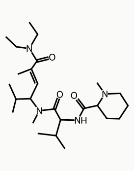 CCN(CC)C(=O)/C(C)=C/C(C(C)C)N(C)C(=O)C(NC(=O)C1CCCCN1C)C(C)C